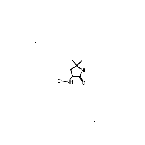 CC1(C)CC(NCl)C(=O)N1